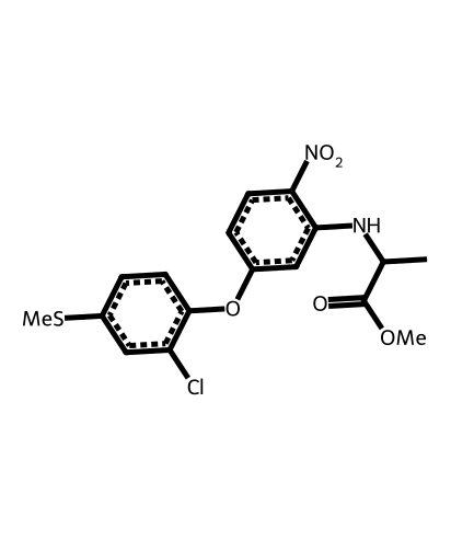 COC(=O)C(C)Nc1cc(Oc2ccc(SC)cc2Cl)ccc1[N+](=O)[O-]